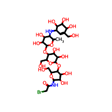 CC1OC(OC2C(CO)OC(OC3C(CO)OC(NC(=O)CBr)C(O)C3O)C(O)C2O)C(O)C(O)C1NC1C=C(CO)C(O)C(O)C1O